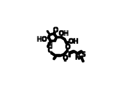 COC1/C=C(/C)CCC[C@@H]2C[C@](C)(C(=O)[C@H](C)[C@H]2O)[C@@H](O)CC(O)O[C@@H]1/C(C)=C/c1csc(C)n1